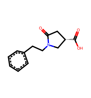 O=C(O)[C@H]1CC(=O)N(CCc2ccccc2)C1